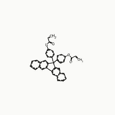 C=CC(=O)Oc1ccc(C2(c3ccc(OC(=O)C=C)cc3)c3cc4ccccc4cc3-c3cc4ccccc4cc32)cc1